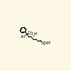 CCCCCCCCCCCCCCCCC(C(C)=O)(C(=O)O)c1ccccc1